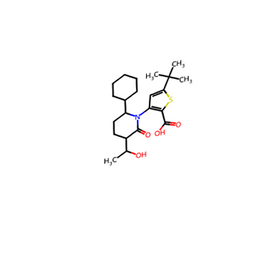 CC(O)C1CCC(C2CCCCC2)N(c2cc(C(C)(C)C)sc2C(=O)O)C1=O